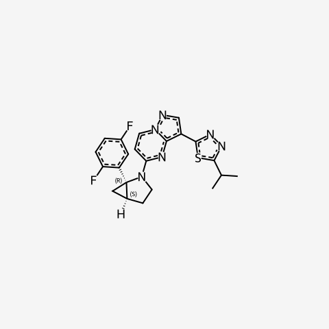 CC(C)c1nnc(-c2cnn3ccc(N4CC[C@H]5C[C@]54c4cc(F)ccc4F)nc23)s1